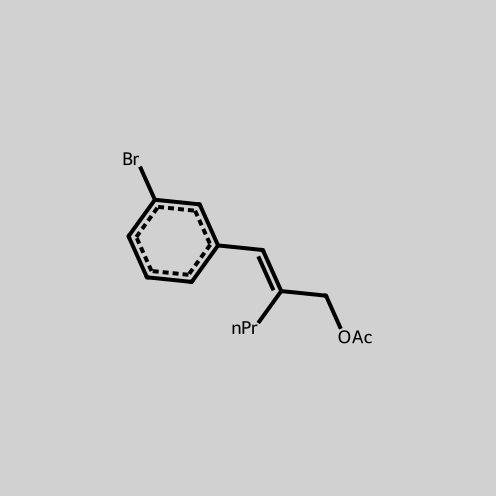 CCC/C(=C\c1cccc(Br)c1)COC(C)=O